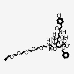 C#CCOCCOCCOCCOCCOCCNC(=O)N[C@H]1[C@H]([C@H](O)[C@H](O)CNC(=O)Cc2ccc(Cl)cc2)O[C@@](OCc2ccccc2)(C(=O)OC)C[C@@H]1O